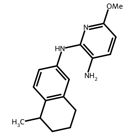 COc1ccc(N)c(Nc2ccc3c(c2)CCCC3C)n1